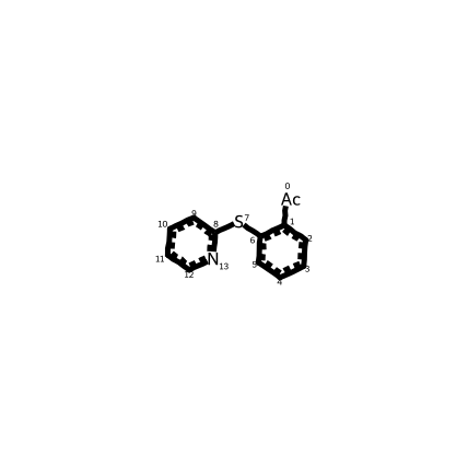 CC(=O)c1ccccc1Sc1ccccn1